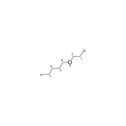 [CH]CCOCCCCC